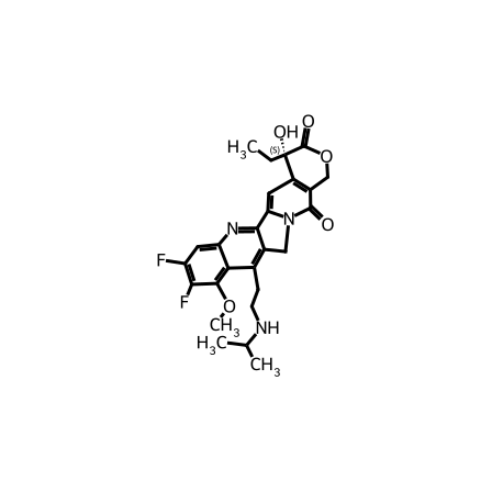 CC[C@@]1(O)C(=O)OCc2c1cc1n(c2=O)Cc2c-1nc1cc(F)c(F)c(OC)c1c2CCNC(C)C